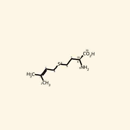 CC(C)=CCSCC[C@H](N)C(=O)O